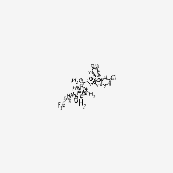 C=C(CCN(Cc1ccc(Cl)cc1)S(=O)(=O)c1cccs1)C1=NC(C)(C)[C@H](C(=O)NCCC(F)(F)F)N1